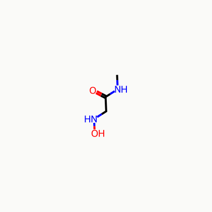 CNC(=O)CNO